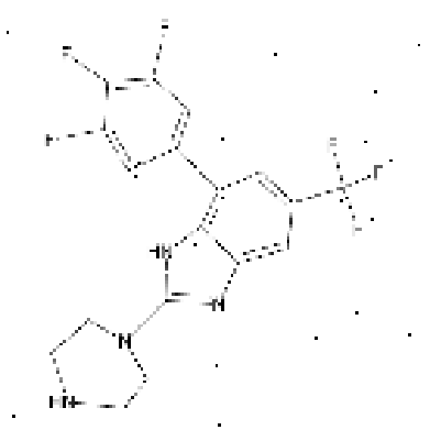 Fc1cc(-c2cc(C(F)(F)F)cc3nc(N4CCNCC4)[nH]c23)cc(F)c1F